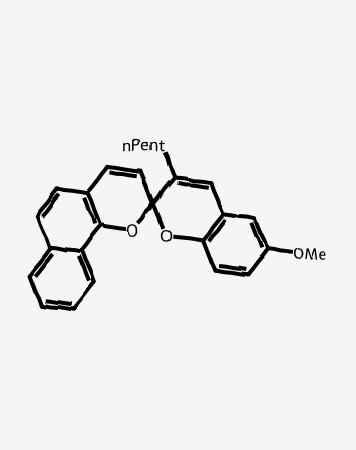 CCCCCC1=Cc2cc(OC)ccc2OC12C=Cc1ccc3ccccc3c1O2